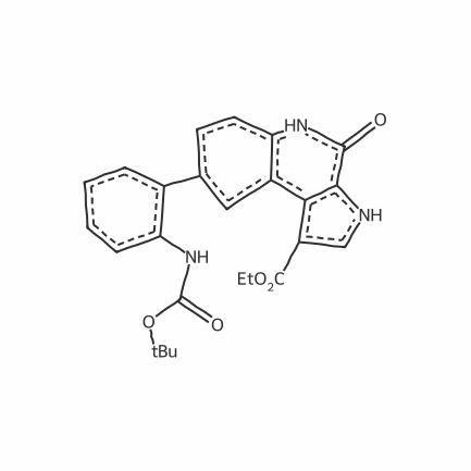 CCOC(=O)c1c[nH]c2c(=O)[nH]c3ccc(-c4ccccc4NC(=O)OC(C)(C)C)cc3c12